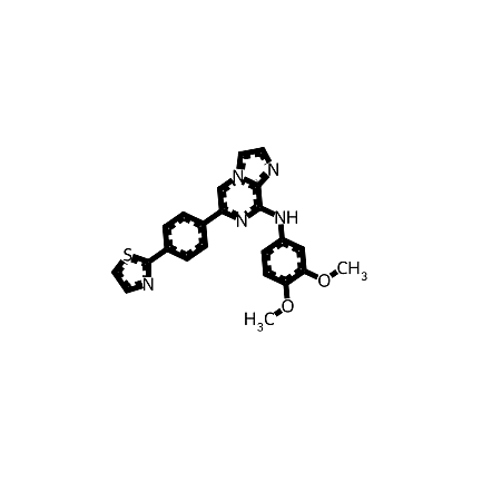 COc1ccc(Nc2nc(-c3ccc(-c4nccs4)cc3)cn3ccnc23)cc1OC